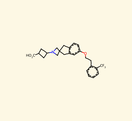 O=C(O)C1CC(N2CC3(Cc4ccc(OCCc5ccccc5C(F)(F)F)cc4C3)C2)C1